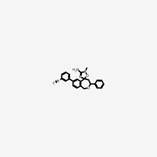 [C-]#[N+]c1cccc(-c2ccc3c(c2)C2(CC(c4ccccc4)OC3)N=C(N)N(C)O2)c1